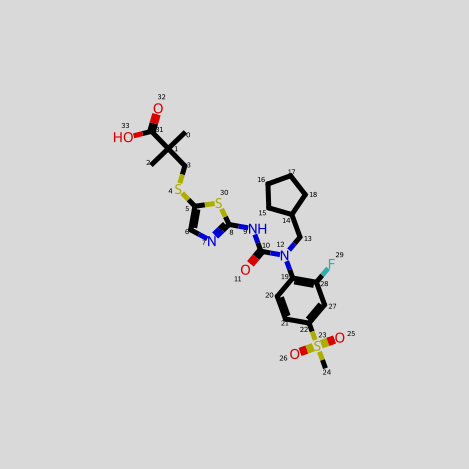 CC(C)(CSc1cnc(NC(=O)N(CC2CCCC2)c2ccc(S(C)(=O)=O)cc2F)s1)C(=O)O